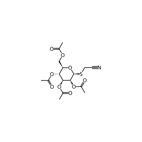 CC(=O)OC[C@H]1O[C@@H](SCC#N)[C@@H](OC(C)=O)[C@@H](OC(C)=O)[C@@H]1OC(C)=O